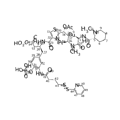 CC[C@H](C)C(NC(=O)[C@H]1CCCCN1C)C(=O)N(C)[C@H](C[C@@H](OC(C)=O)c1nc(C(=O)N[C@@H](Cc2ccc(OP(=O)(O)O)c(NC(=O)CCCSSc3ccccn3)c2)CC(C)C(=O)O)cs1)C(C)C